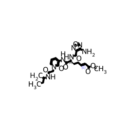 C=C(CC)NC(=O)Cn1cccc(NC(=O)[C@H](CC/C=C/C(=O)OC)NC(=O)c2nonc2N)c1=O